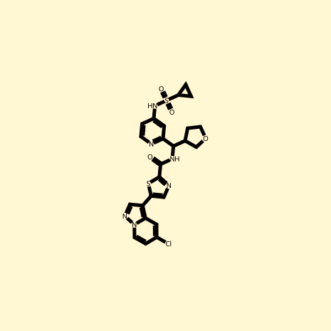 O=C(NC(c1cc(NS(=O)(=O)C2CC2)ccn1)C1CCOC1)c1ncc(-c2cnn3ccc(Cl)cc23)s1